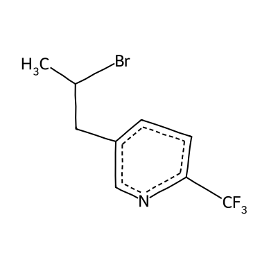 CC(Br)Cc1ccc(C(F)(F)F)nc1